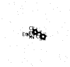 CCN(C)/C=N\c1cc(Cl)cc(Cc2ccccc2)c1C